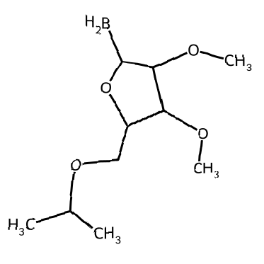 BC1OC(COC(C)C)C(OC)C1OC